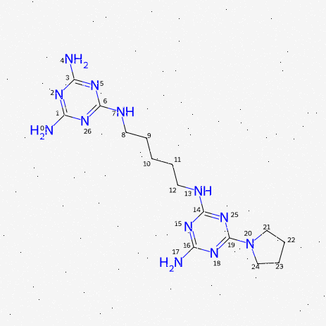 Nc1nc(N)nc(NCCCCCNc2nc(N)nc(N3CCCC3)n2)n1